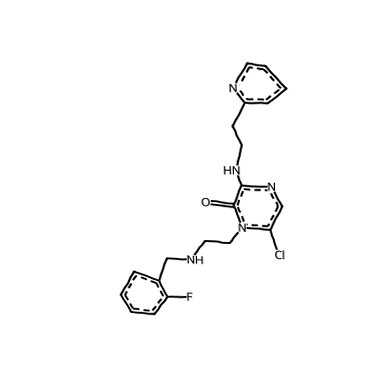 O=c1c(NCCc2ccccn2)ncc(Cl)n1CCNCc1ccccc1F